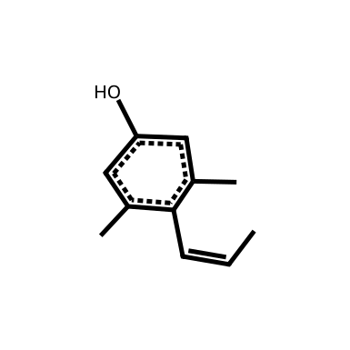 C/C=C\c1c(C)cc(O)cc1C